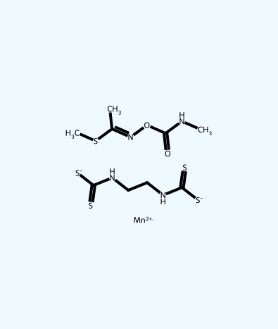 CNC(=O)O/N=C(\C)SC.S=C([S-])NCCNC(=S)[S-].[Mn+2]